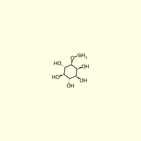 O[C@@H]1[C@@H](O)[C@H](O)[C@@H](O[SiH3])[C@@H](O)[C@H]1O